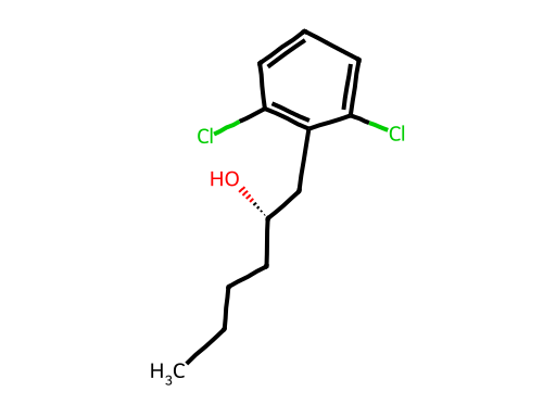 CCCC[C@H](O)Cc1c(Cl)cccc1Cl